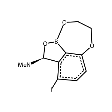 CN[C@H]1OB2OCCOc3ccc(I)c1c32